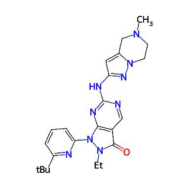 CCn1c(=O)c2cnc(Nc3cc4n(n3)CCN(C)C4)nc2n1-c1cccc(C(C)(C)C)n1